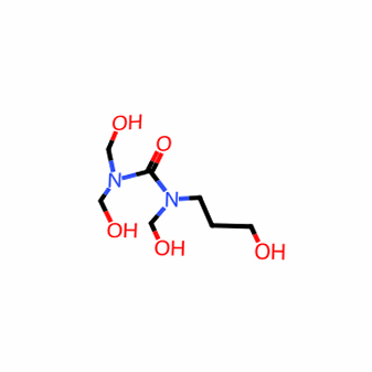 O=C(N(CO)CO)N(CO)CCCO